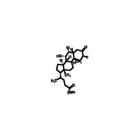 CC[C@H]1[C@@H](O)[C@@H]2[C@H](CC[C@]3(C)[C@@H](C(C)CCC(=O)OC)CC[C@@H]23)[C@@]2(C)C[C@H](F)C(=O)C[C@@H]12